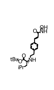 CC(C)C[C@H](NCCc1ccc(C=CC(=O)NO)cc1)C(=O)OC(C)(C)C